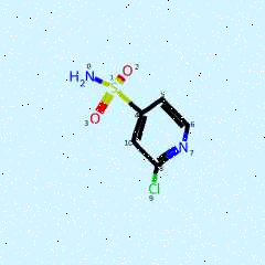 NS(=O)(=O)c1ccnc(Cl)c1